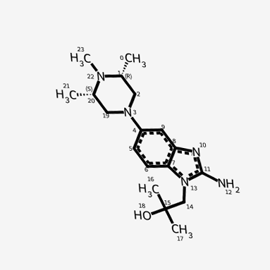 C[C@@H]1CN(c2ccc3c(c2)nc(N)n3CC(C)(C)O)C[C@H](C)N1C